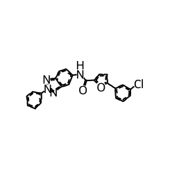 O=C(Nc1ccc2nn(-c3ccccc3)nc2c1)c1ccc(-c2cccc(Cl)c2)o1